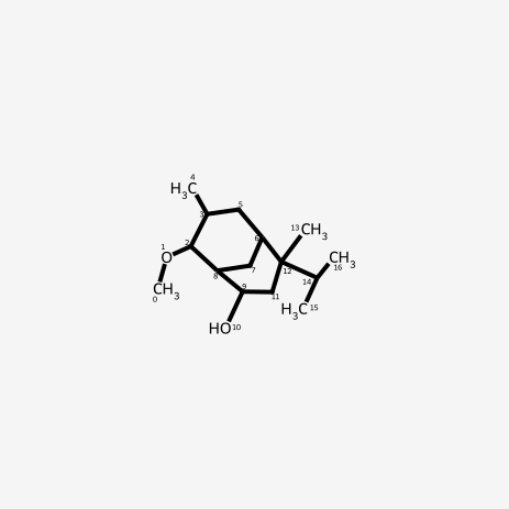 COC1C(C)CC2CC1C(O)CC2(C)C(C)C